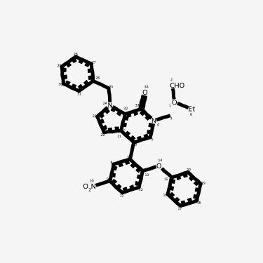 CCOC=O.Cn1cc(-c2cc([N+](=O)[O-])ccc2Oc2ccccc2)c2ccn(Cc3ccccc3)c2c1=O